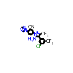 N#Cc1cc(-n2nc(C(F)(F)F)c(-c3cc(Cl)cc(C(F)(F)F)c3)c2N)ccc1-n1cncn1